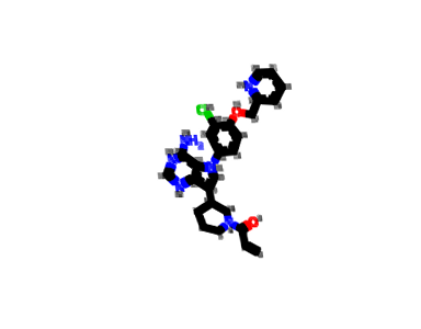 C=CC(=O)N1CCCC(c2cn(-c3ccc(OCc4ccccn4)c(Cl)c3)c3c(N)ncnc23)C1